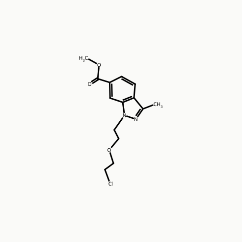 COC(=O)c1ccc2c(C)nn(CCOCCCl)c2c1